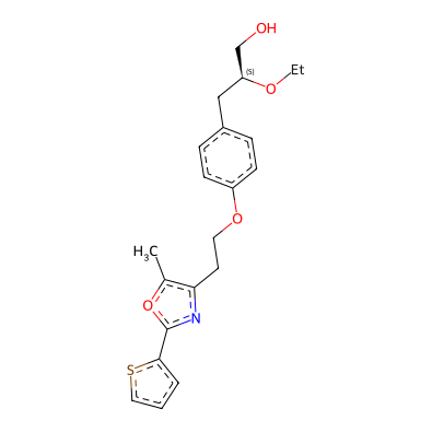 CCO[C@H](CO)Cc1ccc(OCCc2nc(-c3cccs3)oc2C)cc1